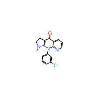 CN1CCc2c1n(-c1cccc(Cl)c1)c1ncccc1c2=O